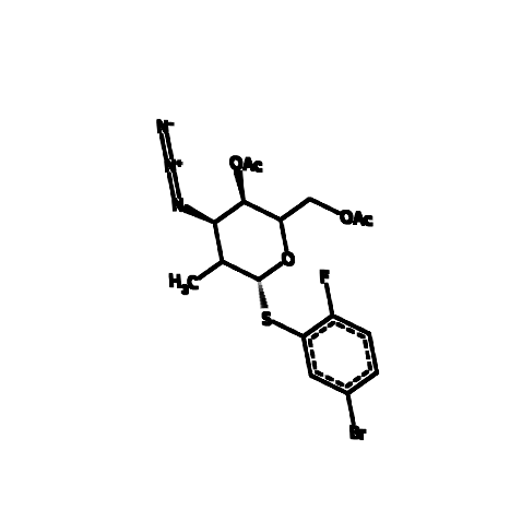 CC(=O)OCC1O[C@H](Sc2cc(Br)ccc2F)C(C)[C@@H](N=[N+]=[N-])[C@H]1OC(C)=O